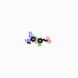 COC(=O)CCc1cc(Br)c(Oc2ccc(N)c(NC(C)C)c2)c(Br)c1